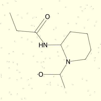 CCC(=O)NC1CCCCN1C(C)[O]